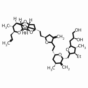 C=CC[C@@H]1O[C@@H]2[C@H]3O[C@@H]4C[C@@](CC[C@H]5CC(=C)C(CC[C@H]6C[C@@H](C)C(=C)[C@@H](CC7OC(C[C@H](O)CO)[C@H](C)[C@H]7CC)O6)O5)(O[C@H]24)O[C@H]3[C@H]1C